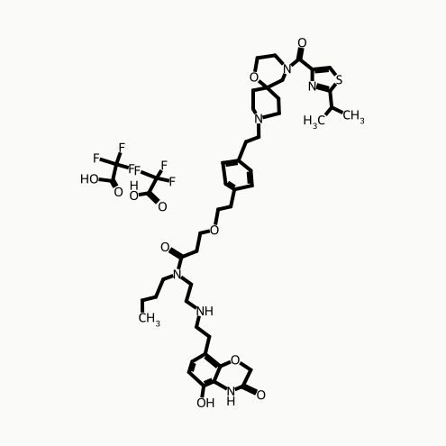 CCCCN(CCNCCc1ccc(O)c2c1OCC(=O)N2)C(=O)CCOCCc1ccc(CCN2CCC3(CC2)CN(C(=O)c2csc(C(C)C)n2)CCO3)cc1.O=C(O)C(F)(F)F.O=C(O)C(F)(F)F